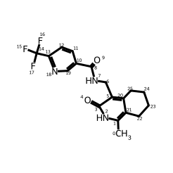 Cc1[nH]c(=O)c(CNC(=O)c2ccc(C(F)(F)F)nc2)c2c1CCCC2